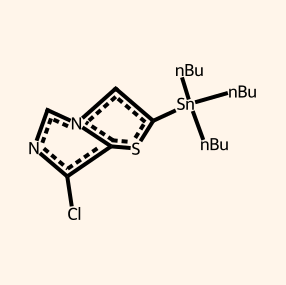 CCC[CH2][Sn]([CH2]CCC)([CH2]CCC)[c]1cn2cnc(Cl)c2s1